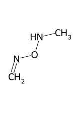 C=NONC